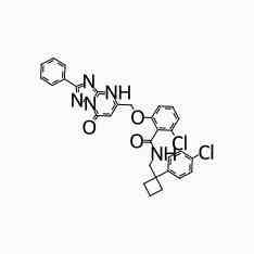 O=C(NCC1(c2ccc(Cl)cc2)CCC1)c1c(Cl)cccc1OCc1cc(=O)n2nc(-c3ccccc3)nc2[nH]1